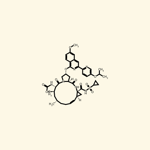 COc1ccc2c(O[C@@H]3C[C@H]4C(=O)N[C@]5(C(=O)NS(=O)(=O)C6CC6)C[C@H]5C=CCC[C@H](C)C[C@@H](C)[C@H](NC(=O)O)C(=O)N4C3)nc(-c3ccc(OC(C)C)cn3)cc2c1